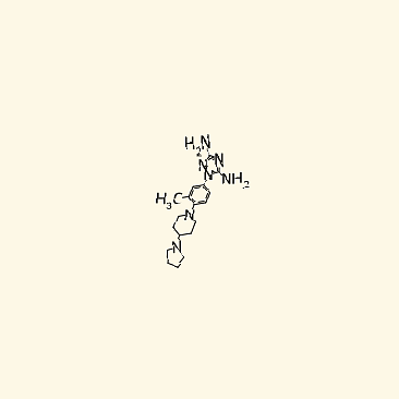 Cc1cc(-n2nc(N)nc2N)ccc1N1CCC(N2CCCC2)CC1